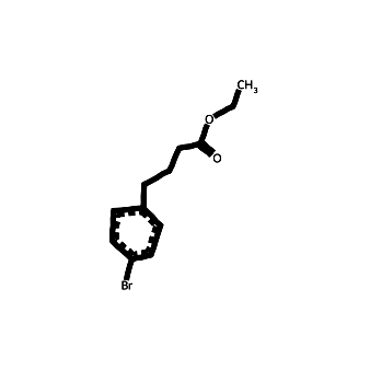 CCOC(=O)CCCc1ccc(Br)cc1